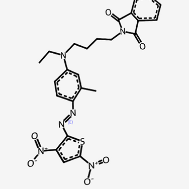 CCN(CCCCN1C(=O)c2ccccc2C1=O)c1ccc(/N=N/c2sc([N+](=O)[O-])cc2[N+](=O)[O-])c(C)c1